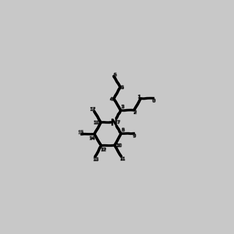 CCCC(CCC)N1C(C)C(C)C(C)C(C)C1C